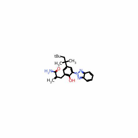 C=C(Cc1cc(C(C)(C)CC(C)(C)C)cc(-n2nc3ccccc3n2)c1O)C(N)=O